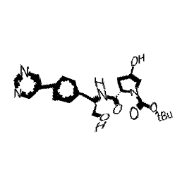 CC(C)(C)OC(=O)N1C[C@H](O)C[C@H]1C(=O)N[C@@H](CO)c1ccc(-c2cncnc2)cc1